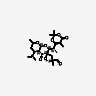 CO[C@](C)(CC(C)(F)C=O)[C@H](O[C@@H]1OC(C)CC(N(C)C)[C@H]1P=O)[C@@H](C)C1=C(C)C(=O)OC(C)(C)O1